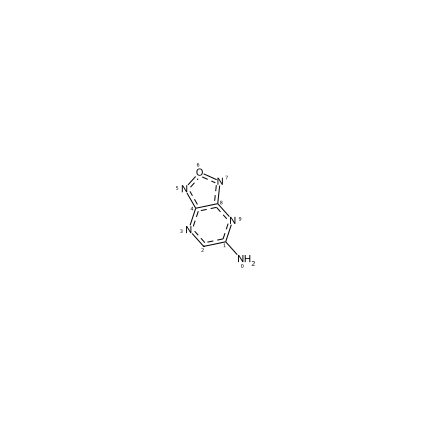 Nc1cnc2nonc2n1